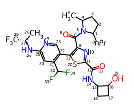 CCCC1CCC(C)N1C(=O)c1nc(C(=O)NC2CCC2O)sc1-c1cnc(N[C@@H](C)C(F)(F)F)cc1C(F)F